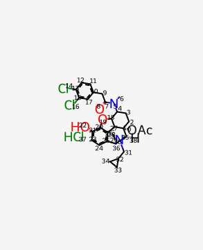 CC(=O)O[C@@]12CCC(N(C)C(=O)Cc3ccc(Cl)c(Cl)c3)C3Oc4c(O)ccc5c4[C@@]31CCN(CC1CC1)[C@@H]2C5.Cl